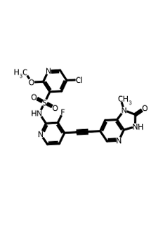 COc1ncc(Cl)cc1S(=O)(=O)Nc1nccc(C#Cc2cnc3[nH]c(=O)n(C)c3c2)c1F